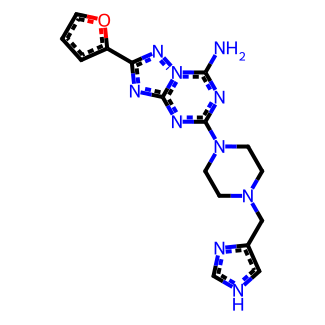 Nc1nc(N2CCN(Cc3c[nH]cn3)CC2)nc2nc(-c3ccco3)nn12